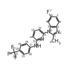 Cc1nc2ccc(F)cc2n1-c1cccc(Nc2ccc(C(F)(F)F)cc2)n1